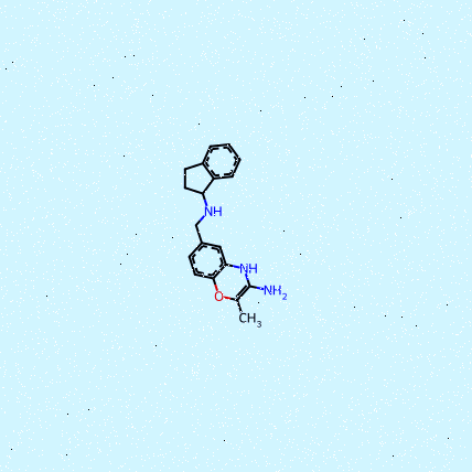 CC1=C(N)Nc2cc(CNC3CCc4ccccc43)ccc2O1